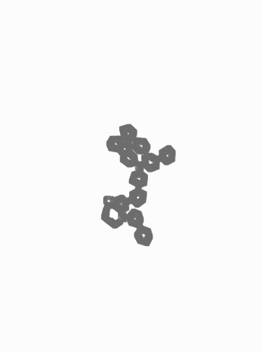 C=C1/C=C\C=C/CN(c2cccc(-c3ccccc3)c2)c2cc(-c3cccc(-c4ccc(N(c5ccc(-c6ccccc6)cc5)c5ccc6c(c5)C(c5ccccc5)(c5ccccc5)c5ccccc5-6)cc4)c3)ccc21